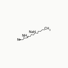 CCCCCCCCCCCCC(N)CC#N.[NaH]